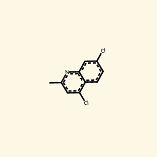 Cc1cc(Cl)c2ccc(Cl)cc2n1